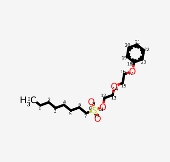 CCCCCCCCS(=O)(=O)OCCOCCOc1ccccc1